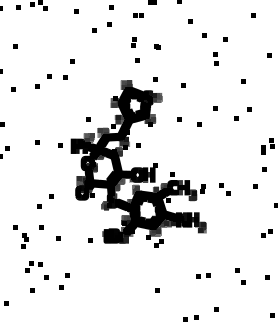 Cc1cc(SC2=C(O)CC(CCc3ccsc3)(C(C)C)OC2=O)c(C(C)(C)C)cc1N